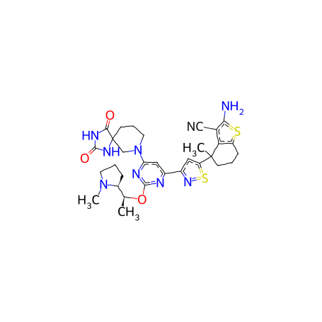 C[C@H](Oc1nc(-c2cc(C3(C)CCCc4sc(N)c(C#N)c43)sn2)cc(N2CCCC3(C2)NC(=O)NC3=O)n1)[C@@H]1CCCN1C